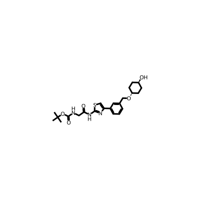 CC(C)(C)OC(=O)NCC(=O)Nc1nc(-c2cccc(CO[C@H]3CC[C@H](O)CC3)c2)cs1